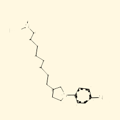 CN(C)CCCCCCCCC1CCN(c2ccc(N)cc2)C1